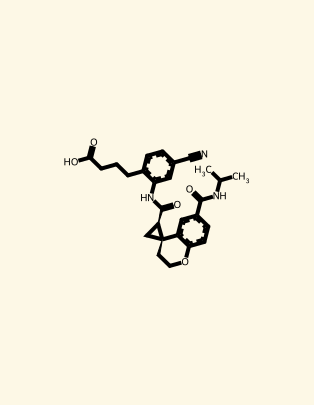 CC(C)NC(=O)c1ccc2c(c1)[C@]1(CCO2)C[C@H]1C(=O)Nc1cc(C#N)ccc1CCCC(=O)O